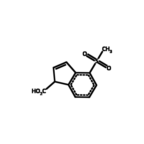 CS(=O)(=O)c1cccc2c1C=CC2C(=O)O